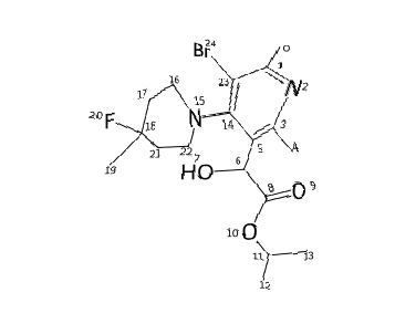 Cc1nc(C)c(C(O)C(=O)OC(C)C)c(N2CCC(C)(F)CC2)c1Br